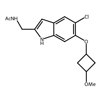 COC1CC(Oc2cc3[nH]c(CNC(C)=O)cc3cc2Cl)C1